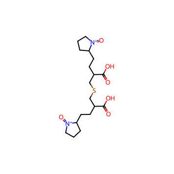 O=C(O)C(CCC1CCC[N+]1=O)CSCC(CCC1CCC[N+]1=O)C(=O)O